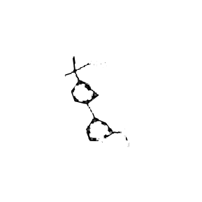 CC(=O)NC(C)(C)c1ccc(-c2ccnc(OC(C)C)c2)cc1